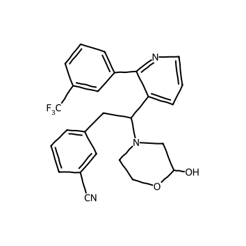 N#Cc1cccc(CC(c2cccnc2-c2cccc(C(F)(F)F)c2)N2CCOC(O)C2)c1